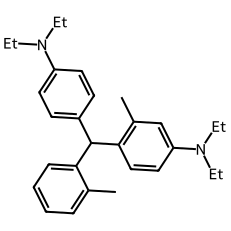 CCN(CC)c1ccc(C(c2ccccc2C)c2ccc(N(CC)CC)cc2C)cc1